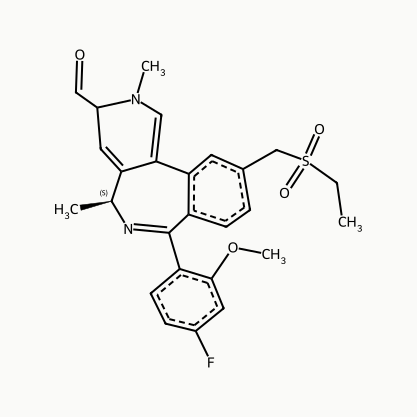 CCS(=O)(=O)Cc1ccc2c(c1)C1=CN(C)C(C=O)C=C1[C@H](C)N=C2c1ccc(F)cc1OC